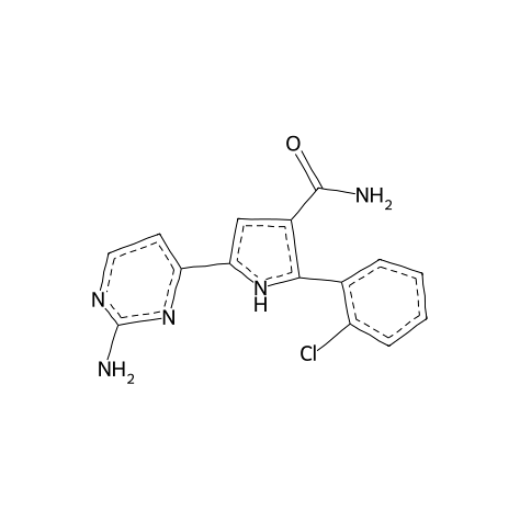 NC(=O)c1cc(-c2ccnc(N)n2)[nH]c1-c1ccccc1Cl